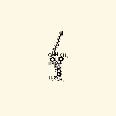 Cc1ccc(/C=C/C2=NC(=C/c3ccc(N(C)C)cc3)/C(=O)N2CC(=O)NC2CCC(C(=O)NCCOCCOCCCCCCCl)CC2)cc1